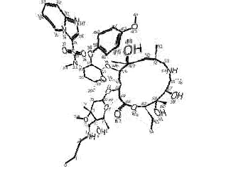 CCCNC[C@]1(O)[C@H](C)OC(O[C@H]2[C@H](C)[C@@H](O[C@@H]3O[C@H](C)C[C@H](N(C)S(=O)(=O)c4cnc5ccccn45)[C@H]3Oc3ccc(OC)cc3)[C@](C)(O)C[C@@H](C)CN[C@H](C)[C@@H](O)[C@](C)(O)[C@@H](CC)OC(=O)[C@@H]2C)C[C@@]1(C)OC